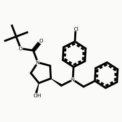 CC(C)(C)OC(=O)N1C[C@@H](CN(Cc2ccccc2)c2ccc(Cl)cc2)[C@@H](O)C1